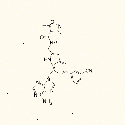 Cc1noc(C)c1C(=O)NCc1cc2cc(-c3cccc(C#N)c3)cc(Cn3cnc4c(N)ncnc43)c2[nH]1